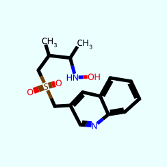 CC(CS(=O)(=O)Cc1cnc2ccccc2c1)C(C)NO